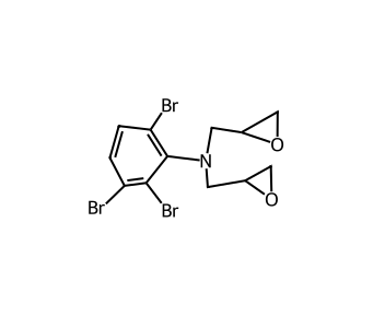 Brc1ccc(Br)c(N(CC2CO2)CC2CO2)c1Br